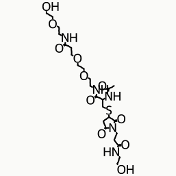 CC(=O)NC(CSC1CC(=O)N(CCC(=O)NCCO)C1=O)C(=O)NCCOCCOCCC(=O)NCCOCCO